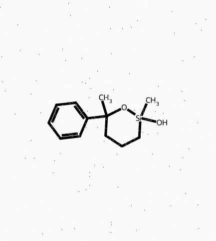 CC1(c2ccccc2)CCC[Si](C)(O)O1